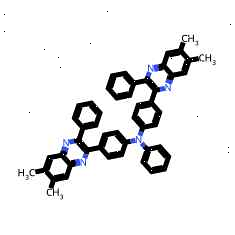 Cc1cc2nc(-c3ccccc3)c(-c3ccc(N(c4ccccc4)c4ccc(-c5nc6cc(C)c(C)cc6nc5-c5ccccc5)cc4)cc3)nc2cc1C